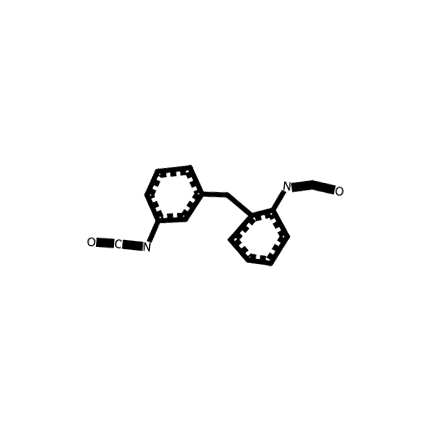 O=C=Nc1cccc(Cc2ccccc2N=C=O)c1